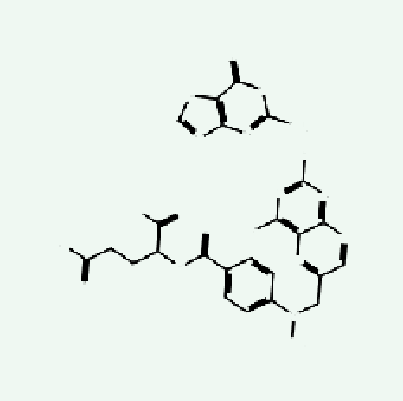 CN(Cc1cnc2nc(N)nc(N)c2n1)c1ccc(C(=O)NC(CCC(=O)O)C(=O)O)cc1.Nc1nc2nc[nH]c2c(=S)[nH]1